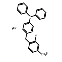 Br.CCOC(=O)c1ccc(Cc2ccc(P(c3ccccc3)c3ccccc3)cc2)c(F)c1